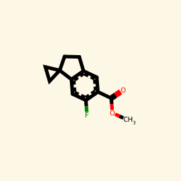 COC(=O)c1cc2c(cc1F)C1(CC2)CC1